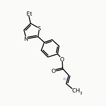 C/C=C/C(=O)Oc1ccc(-c2ncc(CC)s2)cc1